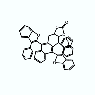 Cc1ccccc1C1c2c(c(-c3oc4ccccc4c3-c3ccccc3)c3ccccc3c2-c2oc3ccccc3c2-c2ccccc2)CC2OC(=O)OC21